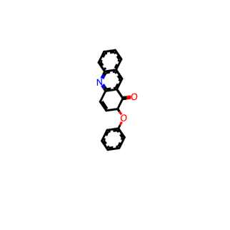 O=C1c2cc3ccccc3nc2C=CC1Oc1ccccc1